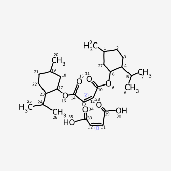 CC1CCC(C(C)C)C(OC(=O)/C=C\C(=O)OC2CC(C)CCC2C(C)C)C1.O=C(O)/C=C\C(=O)O